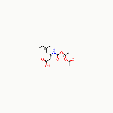 CC[C@@H](C)C[C@@H](CC(=O)O)NC(=O)O[C@@H](C)OC(C)=O